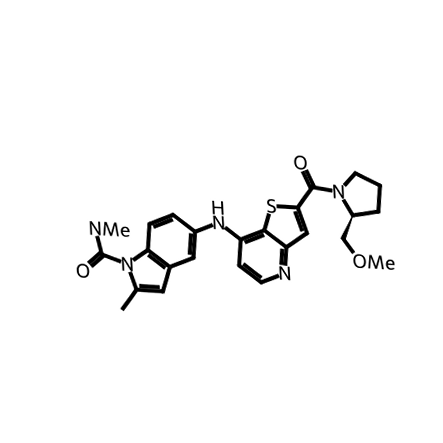 CNC(=O)n1c(C)cc2cc(Nc3ccnc4cc(C(=O)N5CCC[C@H]5COC)sc34)ccc21